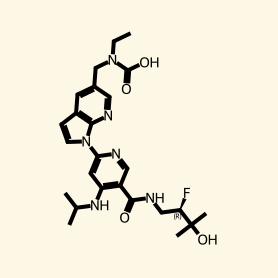 CCN(Cc1cnc2c(ccn2-c2cc(NC(C)C)c(C(=O)NC[C@@H](F)C(C)(C)O)cn2)c1)C(=O)O